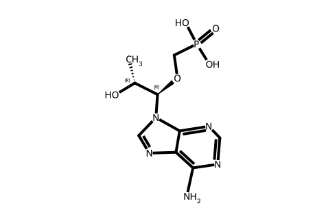 C[C@@H](O)[C@@H](OCP(=O)(O)O)n1cnc2c(N)ncnc21